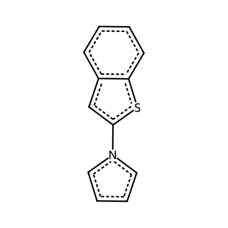 c1ccc2sc(-n3cccc3)cc2c1